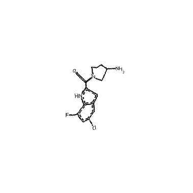 NC1CCN(C(=O)c2cc3cc(Cl)cc(F)c3[nH]2)C1